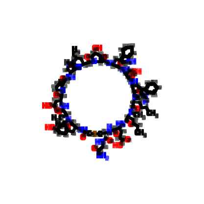 CCCC[C@H]1C(=O)N(C)[C@@H](CCCC)C(=O)N[C@@H](CCC(=O)O)C(=O)N[C@H](C(=O)NCC(N)=O)CSCC(=O)N[C@@H](Cc2ccc(O)cc2)C(=O)N(C)[C@@H](C)C(=O)N[C@@H](CC(=O)O)C(=O)N2CCC[C@H]2C(=O)N[C@@H](CN)C(=O)N[C@@H](CC(C)C)C(=O)N2C[C@H](O)C[C@H]2C(=O)N[C@@H](Cc2c[nH]c3ccccc23)C(=O)N[C@@H](CO)C(=O)N[C@@H](Cc2c[nH]c3ccccc23)C(=O)N1C